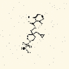 CCNS(=O)(=O)N1CCC(CNC(=O)c2c(F)cccc2Cl)(CC2CC2)CC1